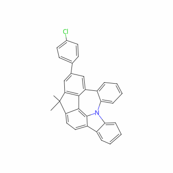 CC1(C)c2cc(-c3ccc(Cl)cc3)cc3c2-c2c1ccc1c4ccccc4n(c21)-c1ccccc1-3